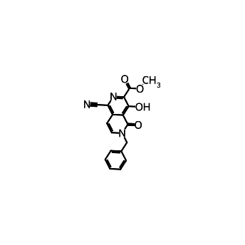 COC(=O)c1nc(C#N)c2ccn(Cc3ccccc3)c(=O)c2c1O